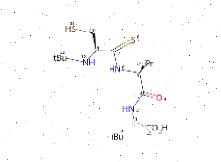 CC[C@H](C)[C@H](NC(=O)[C@@H](NC(=S)[C@H](CS)NC(C)(C)C)C(C)C)C(=O)O